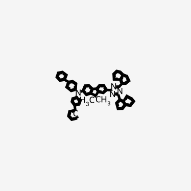 CC1(C)c2cc(-c3nc(-c4cccc5ccccc45)nc(-c4cccc5ccccc45)n3)ccc2-c2ccc(N(c3ccc(-c4ccccc4)cc3)c3ccc(-c4ccccc4)cc3)cc21